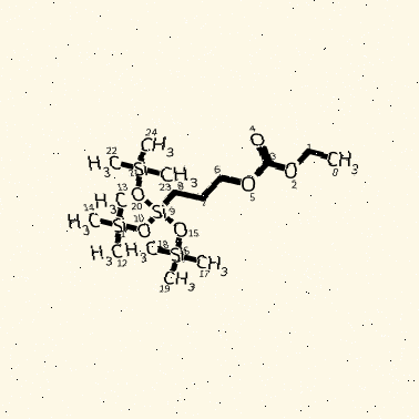 CCOC(=O)OCCC[Si](O[Si](C)(C)C)(O[Si](C)(C)C)O[Si](C)(C)C